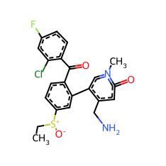 CC[S+]([O-])c1ccc(C(=O)c2ccc(F)cc2Cl)c(-c2cn(C)c(=O)cc2CN)c1